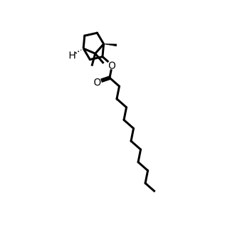 CCCCCCCCCCCC(=O)OC1C[C@H]2CC[C@@]1(C)C2(C)C